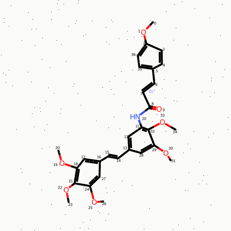 COc1ccc(/C=C/C(=O)Nc2cc(C=Cc3cc(OC)c(OC)c(OC)c3)cc(OC)c2OC)cc1